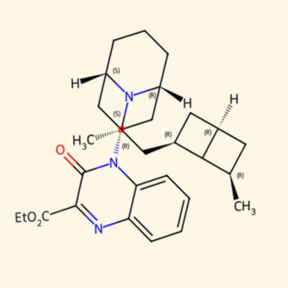 CCOC(=O)c1nc2ccccc2n([C@H]2C[C@H]3CCC[C@@H](C2)N3[C@@H](C)C[C@H]2C[C@H]3C[C@@H](C)C23)c1=O